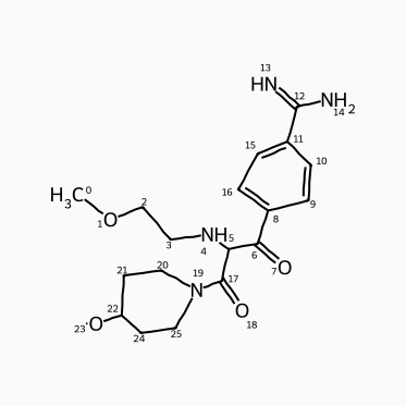 COCCNC(C(=O)c1ccc(C(=N)N)cc1)C(=O)N1CCC([O])CC1